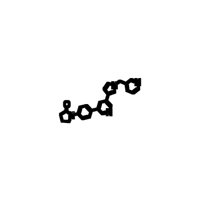 O=C1CCCN1c1ccc(-c2cncc(-c3ccn(Cc4cccnc4)c3)c2)cc1